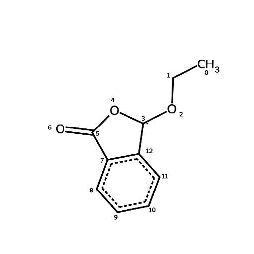 CCO[C]1OC(=O)c2ccccc21